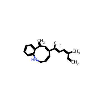 C=C\C(C)=C/C=C(C)/C1=C/C(=C)c2ccccc2NC/C=C\1